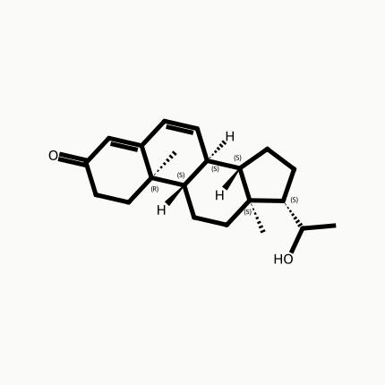 CC(O)[C@H]1CC[C@H]2[C@@H]3C=CC4=CC(=O)CC[C@]4(C)[C@H]3CC[C@]12C